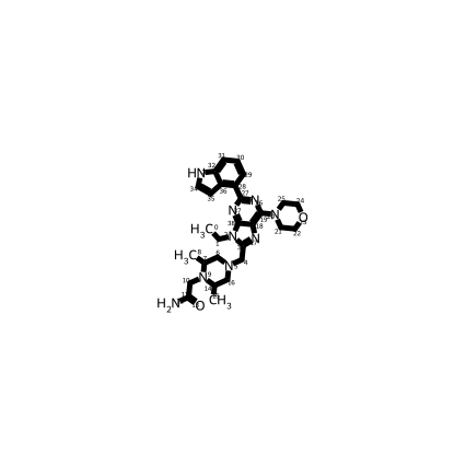 CCn1c(CN2CC(C)N(CC(N)=O)C(C)C2)nc2c(N3CCOCC3)nc(-c3cccc4[nH]ccc34)nc21